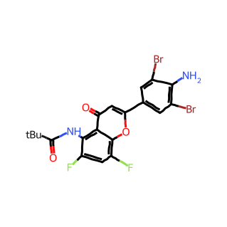 CC(C)(C)C(=O)Nc1c(F)cc(F)c2oc(-c3cc(Br)c(N)c(Br)c3)cc(=O)c12